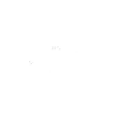 Cc1cccc(OCC#N)c1N